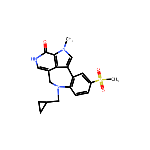 Cn1cc2c3c(c[nH]c(=O)c31)CN(CC1CC1)c1ccc(S(C)(=O)=O)cc1-2